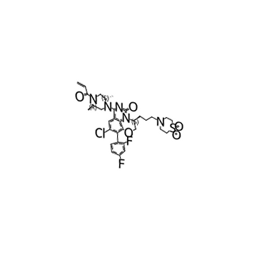 C=CC(=O)N1C[C@H](C)N(c2nc(=O)n3c4c(c(-c5ccc(F)cc5F)c(Cl)cc24)OC[C@@H]3CCCN2CCS(=O)(=O)CC2)C[C@H]1C